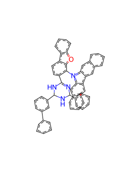 c1ccc(-c2cccc(C3NC(c4ccc5c(oc6ccccc65)c4-n4c5cc6ccccc6cc5c5cc6ccccc6cc54)=NC(c4ccccc4)N3)c2)cc1